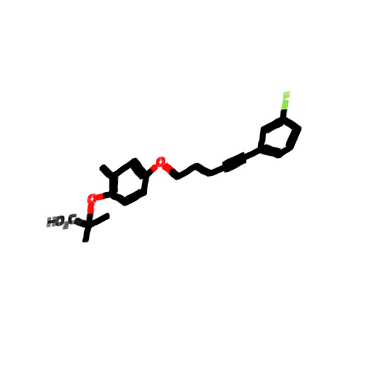 Cc1cc(OCCCC#Cc2cccc(F)c2)ccc1OC(C)(C)C(=O)O